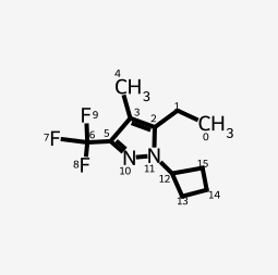 CCc1c(C)c(C(F)(F)F)nn1C1CCC1